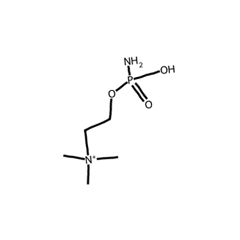 C[N+](C)(C)CCOP(N)(=O)O